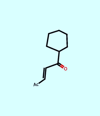 CC(=O)C=CC(=O)C1CCCCC1